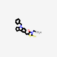 O=C(O)CN1C(=O)/C(=C\c2ccc3c(c2)C2CCCC2N3Cc2ccccc2)SC1S